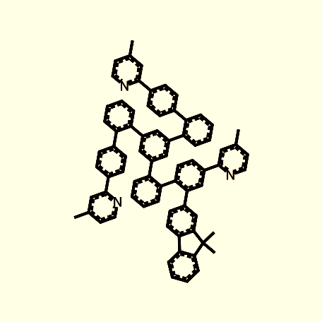 Cc1ccnc(-c2ccc(-c3ccccc3-c3cc(-c4ccccc4-c4ccc(-c5cc(C)ccn5)cc4)cc(-c4ccccc4-c4ccc(-c5cc(C)ccn5)cc4-c4ccc5c(c4)C(C)(C)c4ccccc4-5)c3)cc2)c1